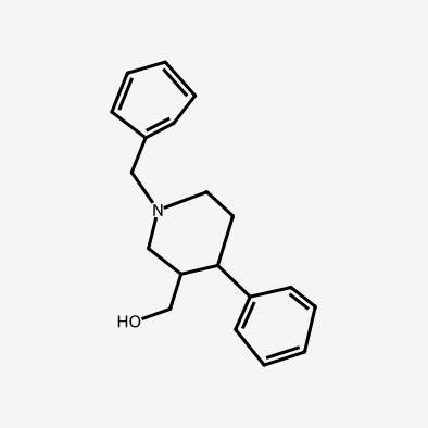 OCC1CN(Cc2ccccc2)CCC1c1ccccc1